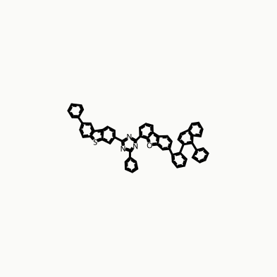 c1ccc(-c2ccc3sc4cc(-c5nc(-c6ccccc6)nc(-c6cccc7c6oc6cc(-c8ccccc8-c8ccc9ccccc9c8-c8ccccc8)ccc67)n5)ccc4c3c2)cc1